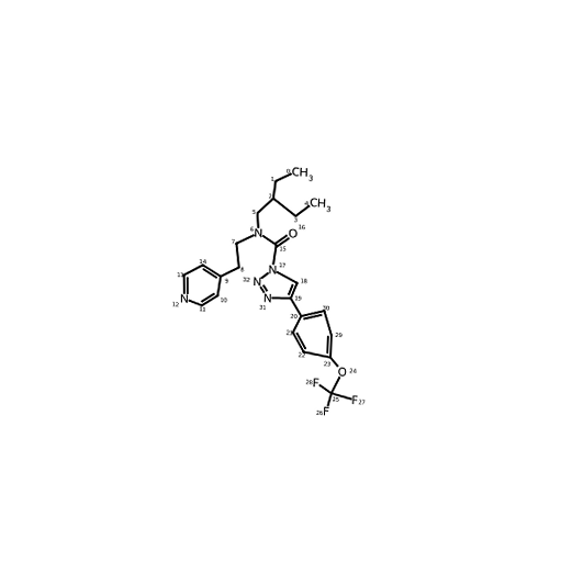 CCC(CC)CN(CCc1ccncc1)C(=O)n1cc(-c2ccc(OC(F)(F)F)cc2)nn1